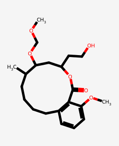 COCOC1CC(CCO)OC(=O)c2c(cccc2OC)CCCCC1C